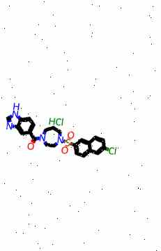 Cl.O=C(c1ccc2[nH]cnc2c1)N1CCCN(S(=O)(=O)c2ccc3cc(Cl)ccc3c2)CC1